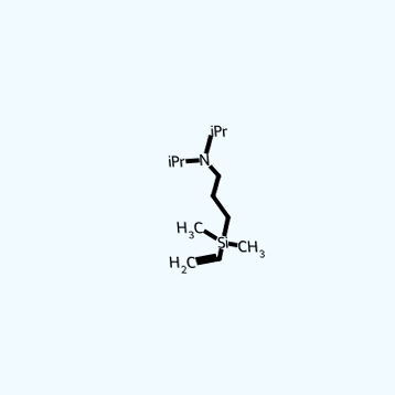 C=C[Si](C)(C)CCCN(C(C)C)C(C)C